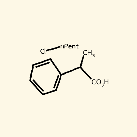 CC(C(=O)O)c1ccccc1.CCCCCCl